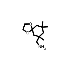 CC1(C)CC(C)(CN)CC2(C1)OCCO2